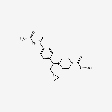 C[C@H](NC(=O)C(F)(F)F)c1ccc(C(CC2CC2)N2CCN(C(=O)OC(C)(C)C)CC2)cc1